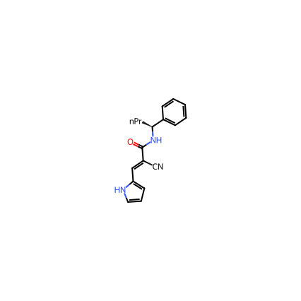 CCC[C@H](NC(=O)/C(C#N)=C/c1ccc[nH]1)c1ccccc1